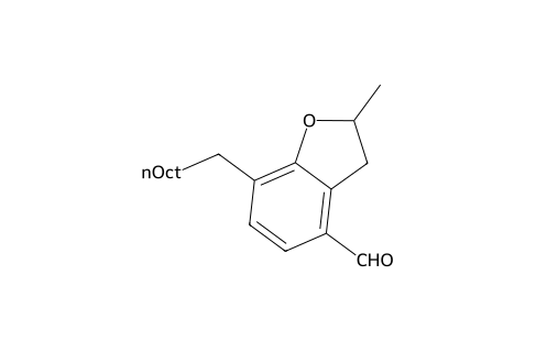 CCCCCCCCCc1ccc(C=O)c2c1OC(C)C2